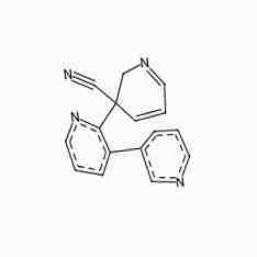 N#CC1(c2ncccc2-c2cccnc2)C=CC=NC1